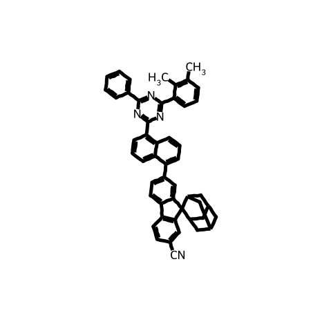 Cc1cccc(-c2nc(-c3ccccc3)nc(-c3cccc4c(-c5ccc6c(c5)C5(c7cc(C#N)ccc7-6)C6CC7CC(C6)CC5C7)cccc34)n2)c1C